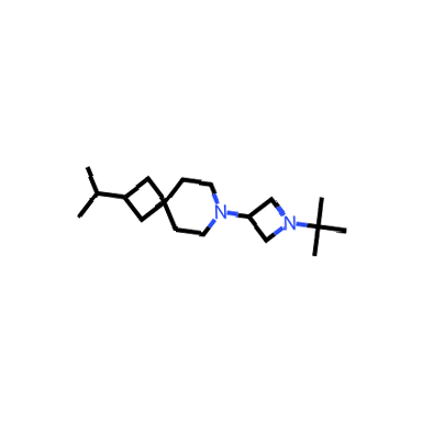 CC(C)C1CC2(CCN(C3CN(C(C)(C)C)C3)CC2)C1